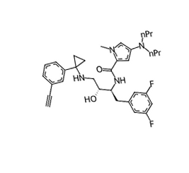 C#Cc1cccc(C2(NC[C@@H](O)[C@H](Cc3cc(F)cc(F)c3)NC(=O)c3cc(N(CCC)CCC)cn3C)CC2)c1